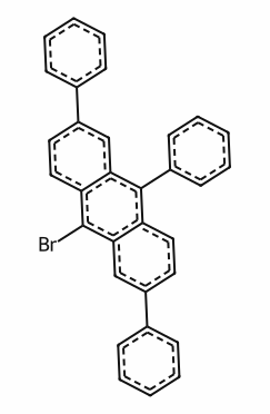 Brc1c2cc(-c3ccccc3)ccc2c(-c2ccccc2)c2cc(-c3ccccc3)ccc12